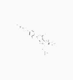 CCc1cc(N2CC(C(C)(C)O)C2)ccc1[C@H]1Cc2nn(CCC3CC3)c(NC(=O)CS(C)(=O)=O)c2C(=O)N1